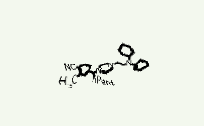 CCCCCC(c1ccc(C#N)c(C)c1)N1CCN(CCN(c2ccccc2)C2CCCCC2)CC1